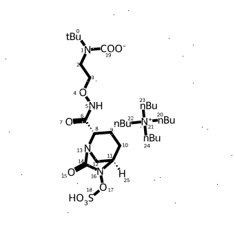 CC(C)(C)N(CCONC(=O)[C@@H]1CC[C@@H]2CN1C(=O)N2OS(=O)(=O)O)C(=O)[O-].CCCC[N+](CCCC)(CCCC)CCCC